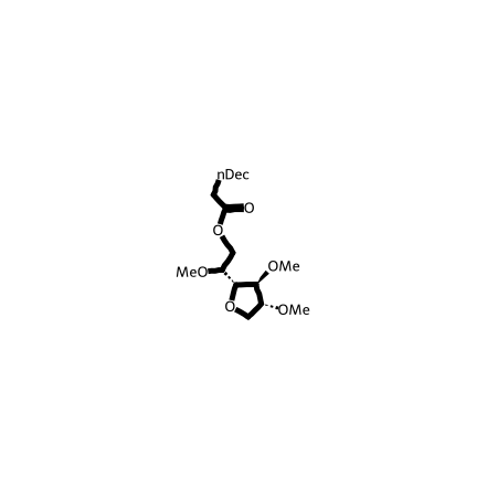 CCCCCCCCCCCC(=O)OCC(OC)[C@H]1OC[C@@H](OC)[C@@H]1OC